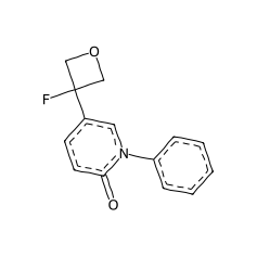 O=c1ccc(C2(F)COC2)cn1-c1ccccc1